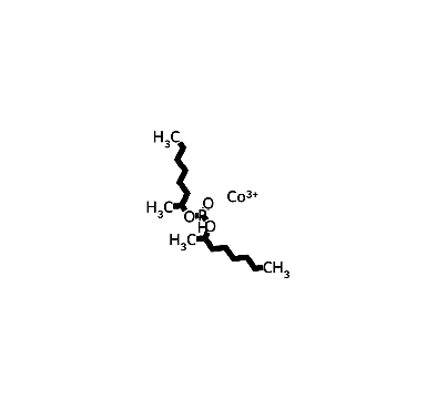 CCCCCCC(C)O[PH](=O)OC(C)CCCCCC.[Co+3]